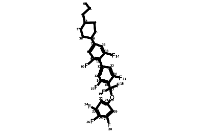 CCCC1CCC(c2cc(F)c(-c3cc(F)c(C(F)(F)Oc4cc(F)c(F)c(F)c4)c(F)c3)c(F)c2)CC1